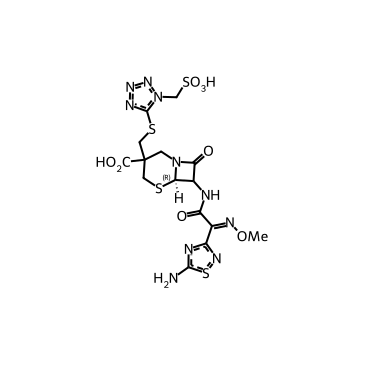 CON=C(C(=O)NC1C(=O)N2CC(CSc3nnnn3CS(=O)(=O)O)(C(=O)O)CS[C@H]12)c1nsc(N)n1